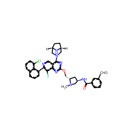 CN1C[C@H](NC(=O)c2cccc(C=O)c2)C[C@H]1COc1nc(N2C[C@H]3CC[C@@H](C2)N3)c2cnc(-c3cccc4cccc(Cl)c34)c(F)c2n1